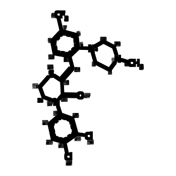 CN1CCN(c2cc(C(F)(F)F)ccc2C=C2SCCN(c3ccc(Cl)c(Cl)c3)C2=O)CC1